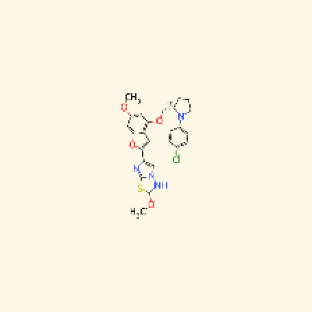 COc1cc(OC[C@@H]2CCCN2c2ccc(Cl)cc2)c2cc(-c3cn4c(n3)SC(OC)N4)oc2c1